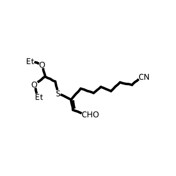 CCOC(CSC(=CC=O)CCCCCCC#N)OCC